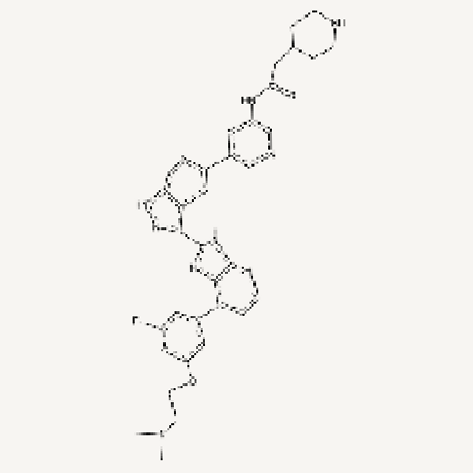 CN(C)CCOc1cc(F)cc(-c2ccnc3[nH]c(-c4n[nH]c5cnc(-c6cncc(NC(=O)CC7CCNCC7)c6)cc45)nc23)c1